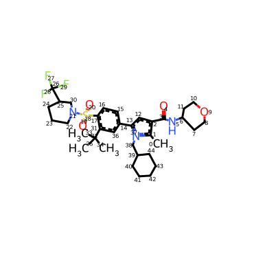 Cc1c(C(=O)NC2CCOCC2)cc(-c2ccc(S(=O)(=O)N3CCCC(C(F)(F)F)C3)c(C(C)(C)C)c2)n1CC1CCCCC1